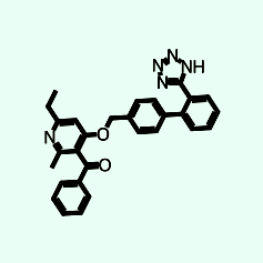 CCc1cc(OCc2ccc(-c3ccccc3-c3nnn[nH]3)cc2)c(C(=O)c2ccccc2)c(C)n1